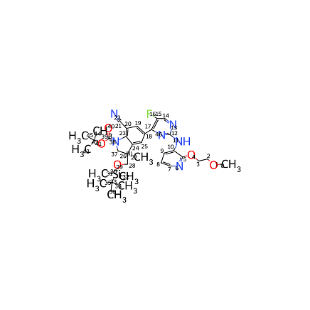 COCCOc1ncccc1Nc1ncc(F)c(-c2cc(C#N)c3c(c2)[C@@](C)(CO[Si](C)(C)C(C)(C)C)CN3C(=O)OC(C)(C)C)n1